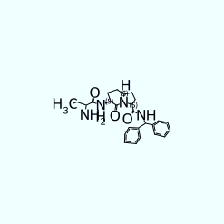 CCC(N)C(=O)N[C@H]1CC[C@H]2CC[C@@H](C(=O)NC(c3ccccc3)c3ccccc3)N2C1=O